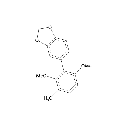 COc1c[c]c(C)c(OC)c1-c1ccc2c(c1)OCO2